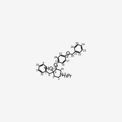 CCCN1CCC(O)(Cc2ccccc2)C(Oc2ccc(OCc3ccccc3)cc2)C1